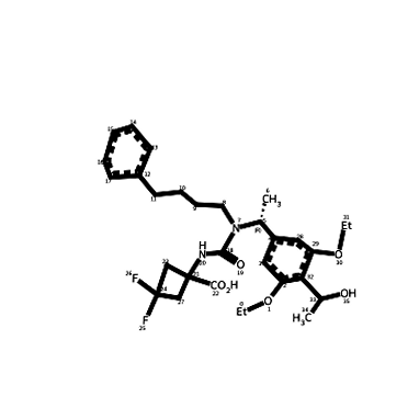 CCOc1cc([C@@H](C)N(CCCCc2ccccc2)C(=O)NC2(C(=O)O)CC(F)(F)C2)cc(OCC)c1C(C)O